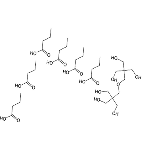 CCCC(=O)O.CCCC(=O)O.CCCC(=O)O.CCCC(=O)O.CCCC(=O)O.CCCC(=O)O.OCC(CO)(CO)COCC(CO)(CO)CO